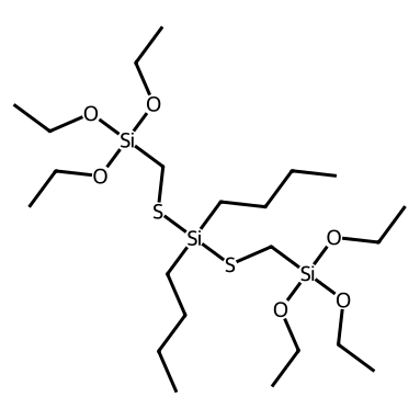 CCCC[Si](CCCC)(SC[Si](OCC)(OCC)OCC)SC[Si](OCC)(OCC)OCC